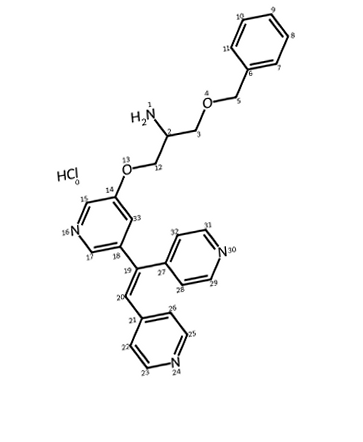 Cl.NC(COCc1ccccc1)COc1cncc(C(=Cc2ccncc2)c2ccncc2)c1